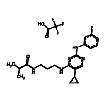 CC(C)C(=O)NCCCNc1nc(Nc2cccc(F)c2)ncc1C1CC1.O=C(O)C(F)(F)F